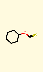 S=[C]OC1CCCCC1